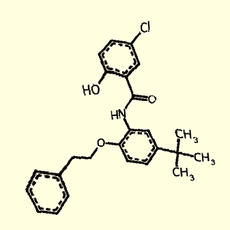 CC(C)(C)c1ccc(OCCc2ccccc2)c(NC(=O)c2cc(Cl)ccc2O)c1